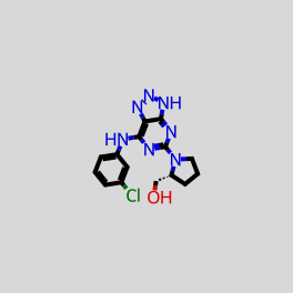 OC[C@H]1CCCN1c1nc(Nc2cccc(Cl)c2)c2nn[nH]c2n1